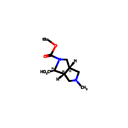 CN1C[C@H]2CN(C(=O)OC(C)(C)C)[C@H](C(=O)O)[C@H]2C1